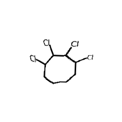 ClC1CCCCC(Cl)C(Cl)C1Cl